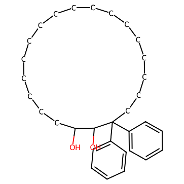 OC1CCCCCCCCCCCCCCCCCC(c2ccccc2)(c2ccccc2)C1O